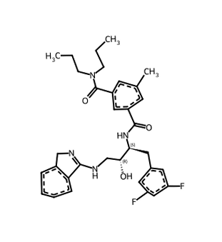 CCCN(CCC)C(=O)c1cc(C)cc(C(=O)N[C@@H](Cc2cc(F)cc(F)c2)[C@H](O)CNC2=NCc3ccccc32)c1